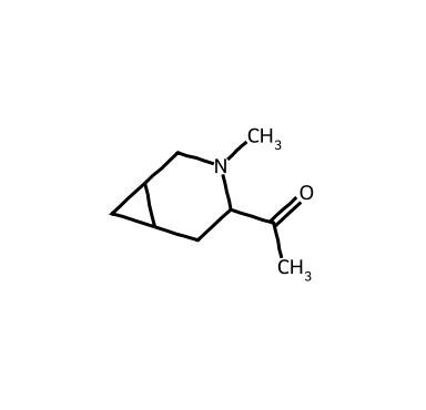 CC(=O)C1CC2CC2CN1C